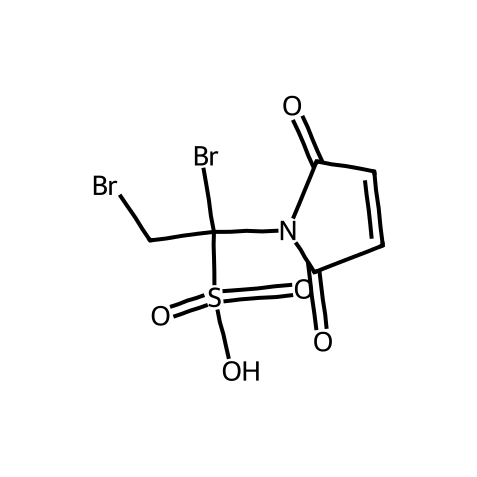 O=C1C=CC(=O)N1C(Br)(CBr)S(=O)(=O)O